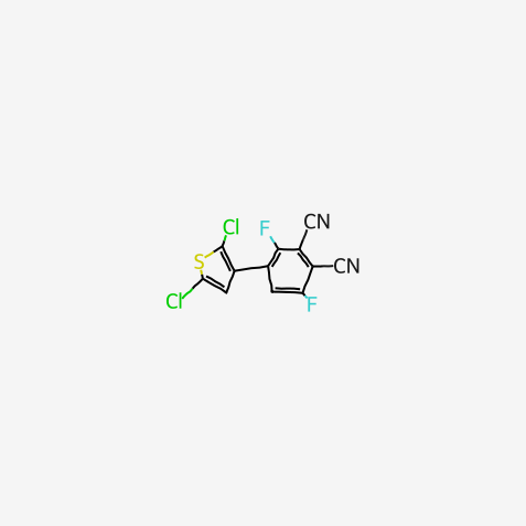 N#Cc1c(F)cc(-c2cc(Cl)sc2Cl)c(F)c1C#N